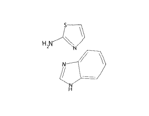 Nc1nccs1.c1ccc2[nH]cnc2c1